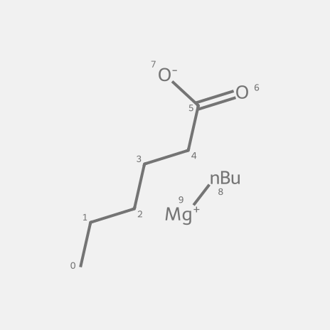 CCCCCC(=O)[O-].CCC[CH2][Mg+]